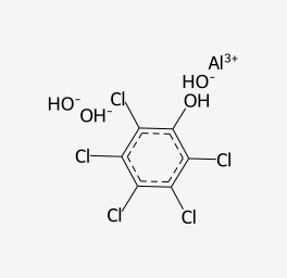 Oc1c(Cl)c(Cl)c(Cl)c(Cl)c1Cl.[Al+3].[OH-].[OH-].[OH-]